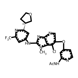 CC(=O)Nc1cc(Oc2cnc3nc(Nc4cc([C@@H]5CCOC5)nc(C(F)(F)F)c4)n(C)c3c2Cl)ccn1